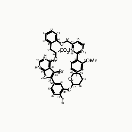 COc1ccccc1-c1nccc(COc2ccccc2C[C@@H](Oc2ncnc3sc(-c4ccc(F)c(OC5CCCCO5)c4)c(Br)c23)C(=O)O)n1